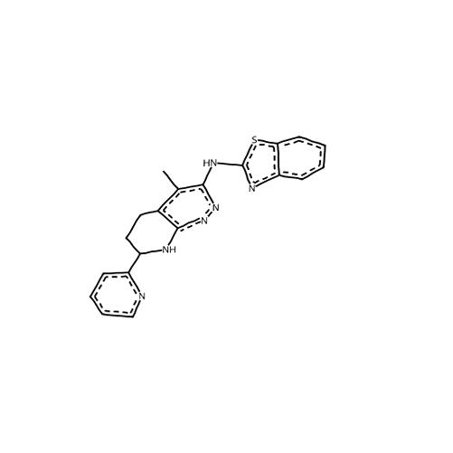 Cc1c(Nc2nc3ccccc3s2)nnc2c1CCC(c1ccccn1)N2